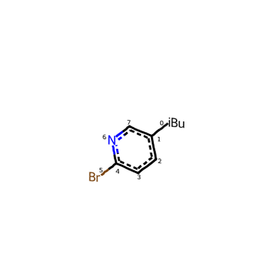 CCC(C)c1ccc(Br)nc1